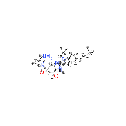 COc1cc(C(=O)N2C[C@@]3(CN)CCC23)cc2nc(-c3cc4cc(/C=C/CC(C)C)ccc4n3CC3CC3)n(C)c12